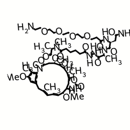 COc1cc2cc(c1Cl)N(C)C(=O)C[C@H](OC(=O)[C@H](C)N(C)C(=O)CCCCC(=O)NNC(=O)[C@H](C)NC(=O)[C@H](CC(N)=O)NC(=O)CCOCCOCCOCCOCCN)[C@]1(C)O[C@H]1[C@H](C)[C@@H]1C[C@@H](NC(=O)O1)[C@H](OC)/C=C/C=C(\C)C2